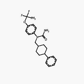 NC(=O)N(CC1CCC(c2ccccc2)CC1)c1ccc(OC(F)(F)P)cc1